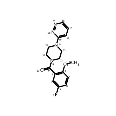 COc1ccc(F)cc1C(=O)N1CCN(c2cccnn2)CC1